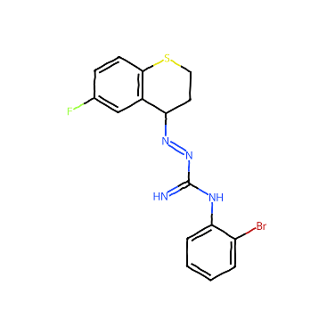 N=C(N=NC1CCSc2ccc(F)cc21)Nc1ccccc1Br